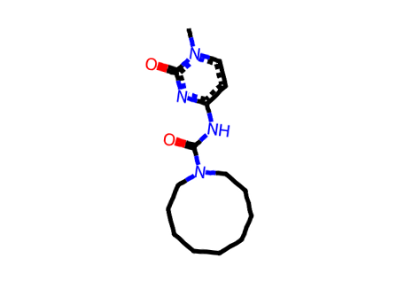 Cn1ccc(NC(=O)N2CCCCCCCCC2)nc1=O